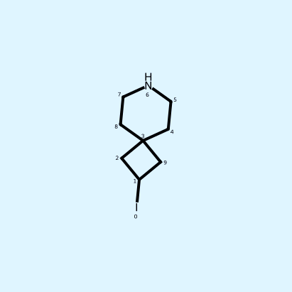 IC1CC2(CCNCC2)C1